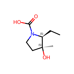 CC[C@@H]1N(C(=O)O)CC[C@]1(C)O